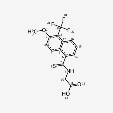 COc1ccc2c(C(=S)NCC(=O)O)cccc2c1C(F)(F)F